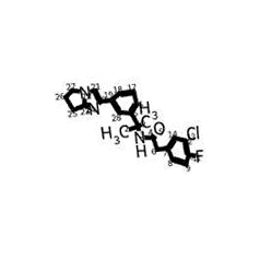 CC(C)(NC(=O)Cc1ccc(F)c(Cl)c1)c1cccc(-c2cn3c(n2)CCC3)c1